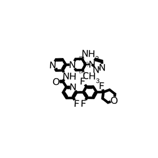 C[C@H]1CN(c2ccncc2NC(=O)c2ccc(F)c(-c3c(F)cc(C4(F)CCOCC4)cc3F)n2)C[C@@H](N)[C@H]1n1ccnn1